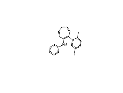 Cc1ccc(I)cc1C1=C(Nc2ccccc2)C=CCC=C1